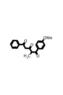 COc1ccc(C(=O)C(C)C(=O)CC(=O)c2ccccc2)cc1